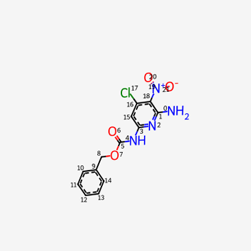 Nc1nc(NC(=O)OCc2ccccc2)cc(Cl)c1[N+](=O)[O-]